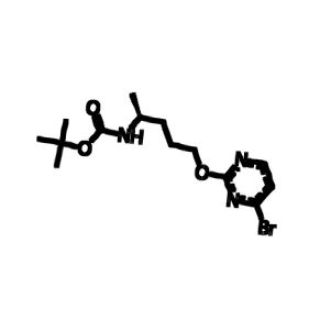 C[C@@H](CCCOc1nccc(Br)n1)NC(=O)OC(C)(C)C